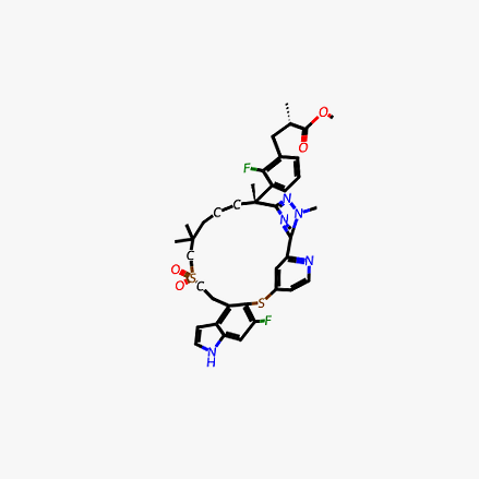 COC(=O)[C@@H](C)Cc1cccc([C@@]2(C)CCCC(C)(C)CS(=O)(=O)CCc3c(c(F)cc4[nH]ccc34)Sc3ccnc(c3)-c3nc2nn3C)c1F